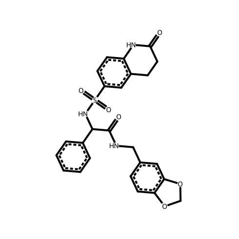 O=C1CCc2cc(S(=O)(=O)NC(C(=O)NCc3ccc4c(c3)OCO4)c3ccccc3)ccc2N1